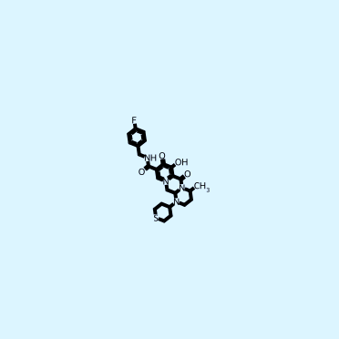 CC1CCN(C2CCSCC2)C2Cn3cc(C(=O)NCc4ccc(F)cc4)c(=O)c(O)c3C(=O)N12